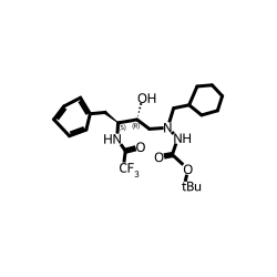 CC(C)(C)OC(=O)NN(CC1CCCCC1)C[C@@H](O)[C@H](Cc1ccccc1)NC(=O)C(F)(F)F